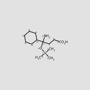 C[Si](C)(C)OC(N)(CCC(=O)O)C1CCCCC1